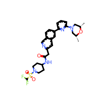 C[C@@H]1CN(c2cccc(-c3ccc4cnc(CC(=O)NC5CCN(S(=O)(=O)C(F)F)CC5)cc4c3)n2)C[C@H](C)O1